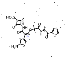 C[C@H]1[C@H](NC(=O)/C(=N\OC(C)(C)C(=O)NNC(=O)c2ccco2)c2csc(N)n2)C(=O)N1S(=O)(=O)O